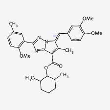 COc1ccc(/C=c2\c(C)c(C(=O)OC3C(C)CCCC3C)c3nc(-c4cc(C)ccc4OC)nn23)cc1OC